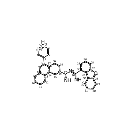 C/C=C\C(=C/C(C)C)c1cc2ccccc2c2cc(C(=N)/N=C(\N)c3cccc4oc5ccccc5c34)ccc12